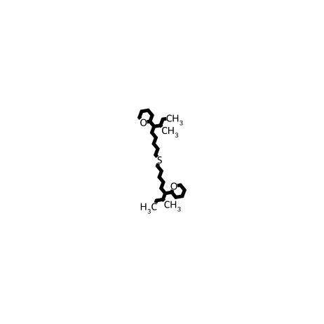 CCC(C)C(CCCCCSCCCCCC(C(C)CC)C1CCCCO1)C1CCCCO1